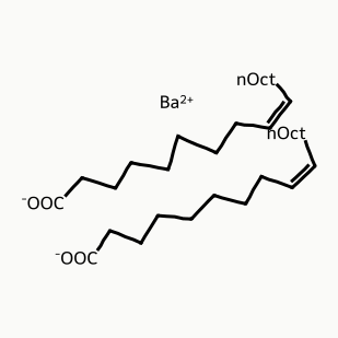 CCCCCCCC/C=C\CCCCCCCC(=O)[O-].CCCCCCCC/C=C\CCCCCCCC(=O)[O-].[Ba+2]